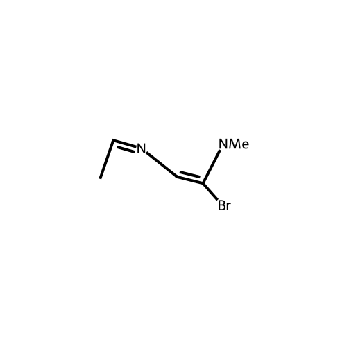 C/C=N\C=C(\Br)NC